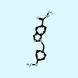 CNC(=O)c1ccc2c(cnn2Cc2ccc(OC)cc2)c1